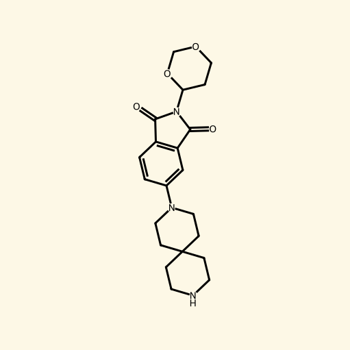 O=C1c2ccc(N3CCC4(CCNCC4)CC3)cc2C(=O)N1C1CCOCO1